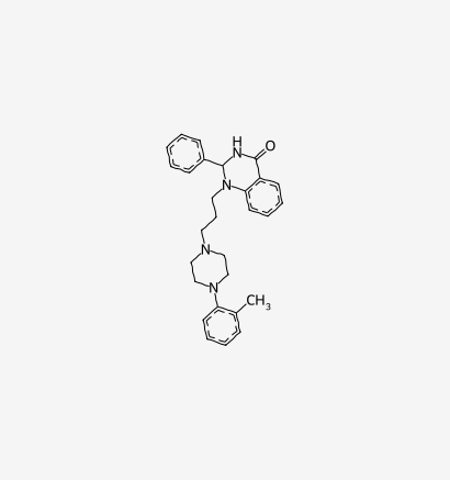 Cc1ccccc1N1CCN(CCCN2c3ccccc3C(=O)NC2c2ccccc2)CC1